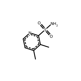 Cc1ccnc(S(N)(=O)=O)c1C